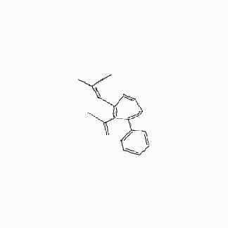 C=C(C)c1c(C=C(C)C)cccc1-c1ccccc1